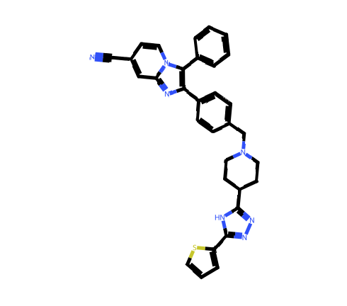 N#Cc1ccn2c(-c3ccccc3)c(-c3ccc(CN4CCC(c5nnc(-c6cccs6)[nH]5)CC4)cc3)nc2c1